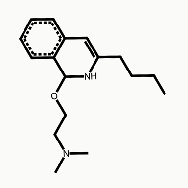 CCCCC1=Cc2ccccc2C(OCCN(C)C)N1